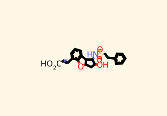 O=C(O)/C=C/c1cccc2c1OC1CC(O)C(NS(=O)(=O)CCc3ccccc3)C21